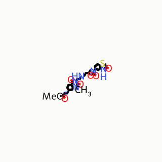 COC(=O)/C=C/c1ccc2c(=O)n(CCNCCC3CN(c4ccc5c(c4)NC(=O)CS5)C(=O)O3)c(=O)n(C)c2c1